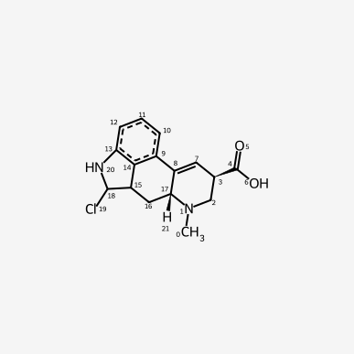 CN1C[C@H](C(=O)O)C=C2c3cccc4c3C(C[C@H]21)C(Cl)N4